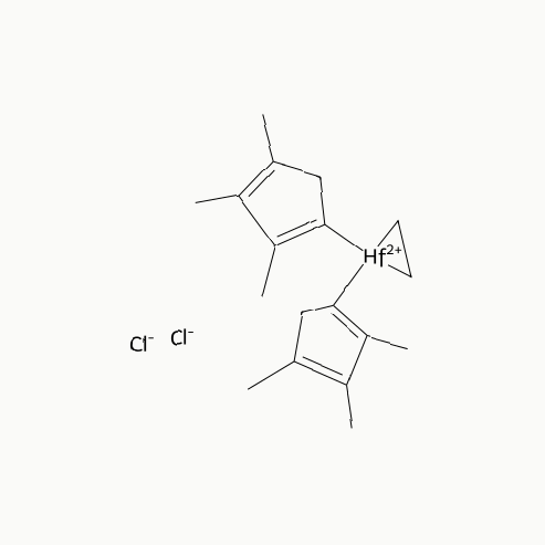 CC1=C(C)C(C)=[C]([Hf+2]2([C]3=C(C)C(C)=C(C)C3)[CH2][CH2]2)C1.[Cl-].[Cl-]